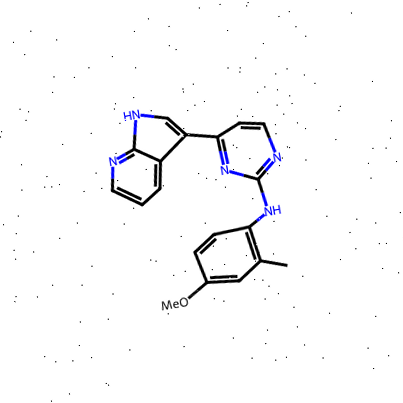 COc1ccc(Nc2nccc(-c3c[nH]c4ncccc34)n2)c(C)c1